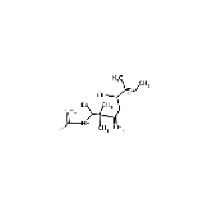 C=C(CC)NC(C(C)CC)C(C)(C)C(=C)CC(/C(C)=C/C)C(C)CC